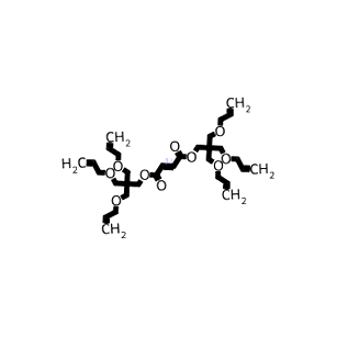 C=CCOCC(COCC=C)(COCC=C)COC(=O)/C=C/C(=O)OCC(COCC=C)(COCC=C)COCC=C